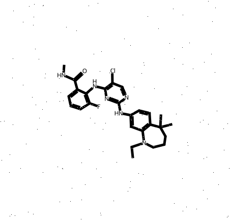 CCN1CCCC(C)(C)c2ccc(Nc3ncc(Cl)c(Nc4c(F)cccc4C(=O)NC)n3)cc21